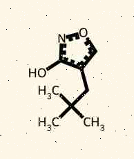 CC(C)(C)Cc1conc1O